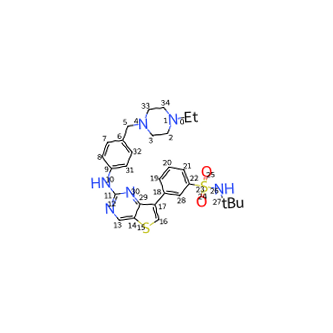 CCN1CCN(Cc2ccc(Nc3ncc4scc(-c5cccc(S(=O)(=O)NC(C)(C)C)c5)c4n3)cc2)CC1